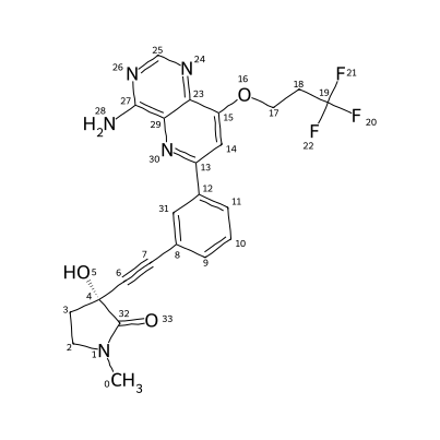 CN1CC[C@@](O)(C#Cc2cccc(-c3cc(OCCC(F)(F)F)c4ncnc(N)c4n3)c2)C1=O